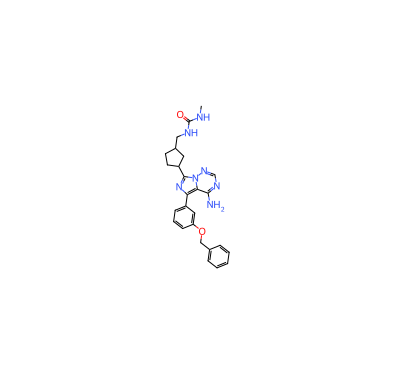 CNC(=O)NCC1CCC(c2nc(-c3cccc(OCc4ccccc4)c3)c3c(N)ncnn23)C1